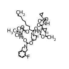 C=CCCCCCC(OC(=O)NC(C)(C)C)C(=O)N1C[C@H](OC(=O)N2Cc3cccc(F)c3C2)C[C@H]1C(=O)N[C@]1(C(=O)NS(=O)(=O)C2CC2)C[C@H]1C=C